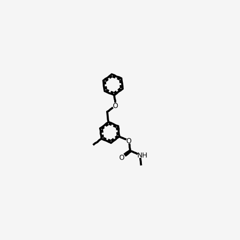 CNC(=O)Oc1cc(C)cc(COc2ccccc2)c1